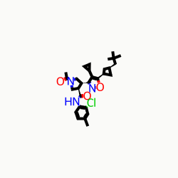 CC(=O)N1C[C@H](C(=O)Nc2ccc(C)cc2Cl)[C@@H](c2noc([C@H]3C[C@@H](CC(C)(C)C)C3)c2C2CC2)C1